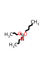 CCCCCO[SiH](OCCC)OCCC